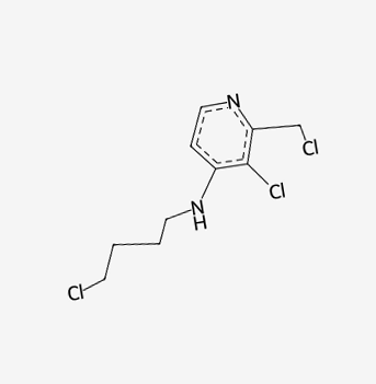 ClCCCCNc1ccnc(CCl)c1Cl